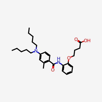 CCCCCN(CCCCC)c1ccc(C(=O)Nc2ccccc2OCCCC(=O)O)c(C)c1